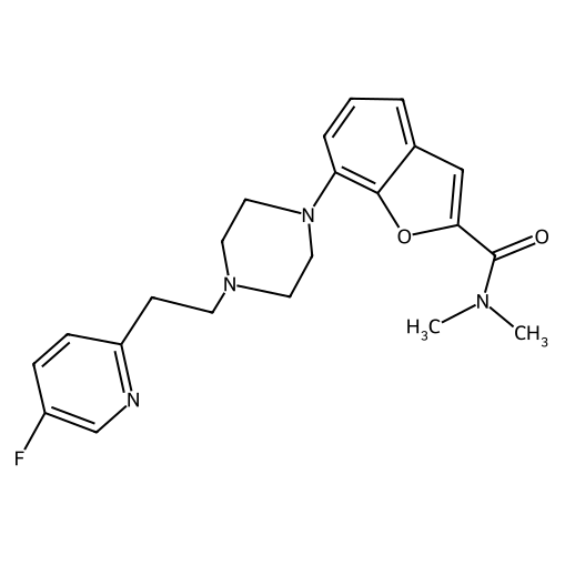 CN(C)C(=O)c1cc2cccc(N3CCN(CCc4ccc(F)cn4)CC3)c2o1